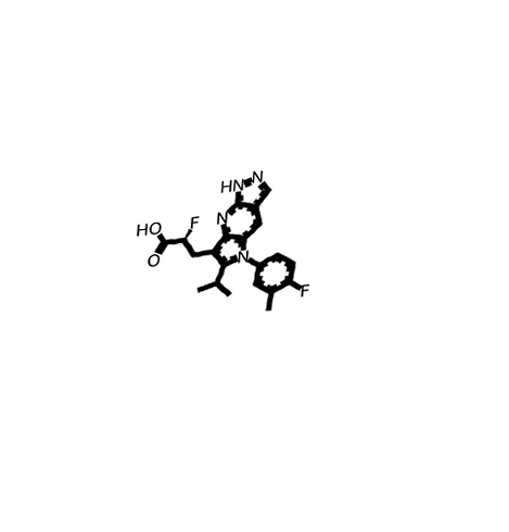 Cc1cc(-n2c(C(C)C)c(C[C@H](F)C(=O)O)c3nc4[nH]ncc4cc32)ccc1F